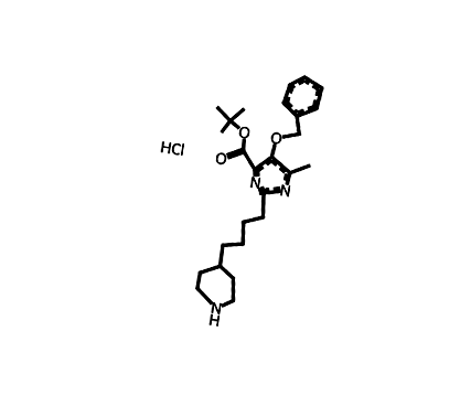 Cc1nc(CCCCC2CCNCC2)nc(C(=O)OC(C)(C)C)c1OCc1ccccc1.Cl